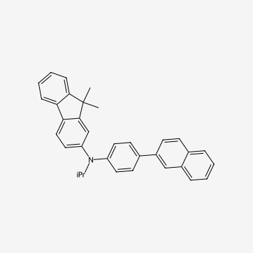 CC(C)N(c1ccc(-c2ccc3ccccc3c2)cc1)c1ccc2c(c1)C(C)(C)c1ccccc1-2